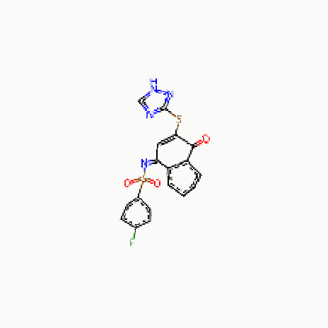 O=C1C(Sc2nc[nH]n2)=C/C(=N/S(=O)(=O)c2ccc(F)cc2)c2ccccc21